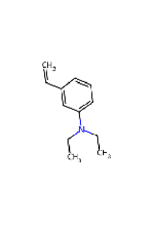 C=Cc1cccc(N(CC)CC)c1